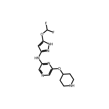 FC(F)Oc1cc(Nc2cncc(OC3CCNCC3)n2)n[nH]1